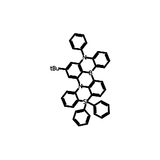 CC(C)(C)c1cc2c3c(c1)N1c4ccccc4[Si](c4ccccc4)(c4ccccc4)c4cccc(c41)B3c1ccccc1N2c1ccccc1